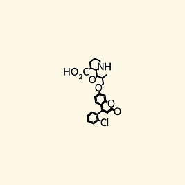 CC(COc1ccc2c(-c3ccccc3Cl)cc(=O)oc2c1)C(=O)C1NCCC[C@@H]1C(=O)O